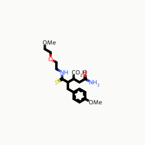 COCCOCCNC(=S)C(Cc1ccc(OC)cc1)C(CC(N)=O)C(=O)O